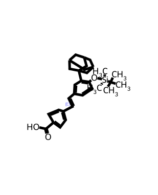 CC(C)(C)[Si](C)(C)Oc1ccc(/C=C/c2ccc(C(=O)O)cc2)cc1C12CC3CC(CC(C3)C1)C2